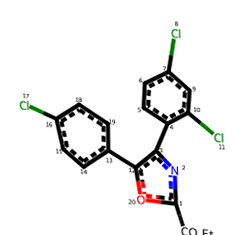 CCOC(=O)c1nc(-c2ccc(Cl)cc2Cl)c(-c2ccc(Cl)cc2)o1